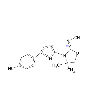 CC1(C)CO/C(=N\C#N)N1c1nc(-c2ccc(C#N)cc2)cs1